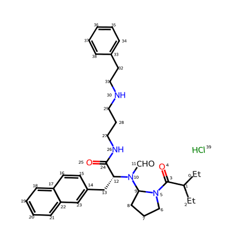 CCC(CC)C(=O)N1CCCC1N(C=O)[C@H](Cc1ccc2ccccc2c1)C(=O)NCCCNCCc1ccccc1.Cl